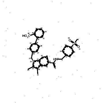 C=C(NCc1ccc(S(C)(=O)=O)cc1)c1ccc2c(c1)c(C)c(C)n2Cc1ccc(-c2ccccc2C(=O)O)cc1